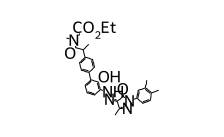 CCOC(=O)CN(C)C(=O)C(C)c1ccc(-c2cccc(NN=C3C(=O)N(c4ccc(C)c(C)c4)N=C3C)c2O)cc1